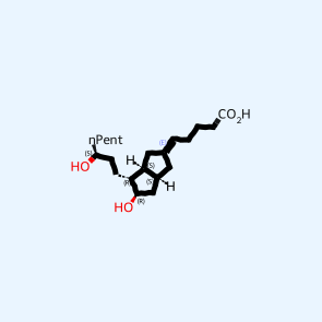 CCCCC[C@H](O)CC[C@@H]1[C@H]2C/C(=C/CCCC(=O)O)C[C@H]2C[C@H]1O